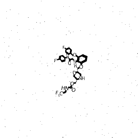 O=C(NCC(F)(F)F)OC[C@@H]1CO[C@H](COc2cccc(Cl)c2N[C@@H](Cc2ccc(F)cc2)C(=O)Nc2ccc(F)cc2)CN1